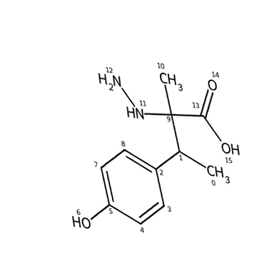 CC(c1ccc(O)cc1)C(C)(NN)C(=O)O